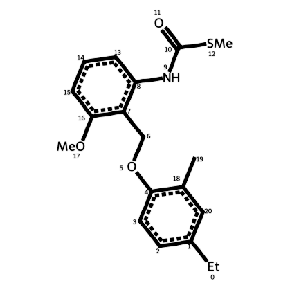 CCc1ccc(OCc2c(NC(=O)SC)cccc2OC)c(C)c1